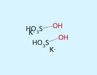 O=S(=O)(O)O.O=S(=O)(O)O.[K].[K]